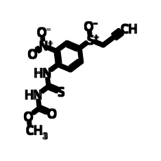 C#CC[S+]([O-])c1ccc(NC(=S)NC(=O)OC)c([N+](=O)[O-])c1